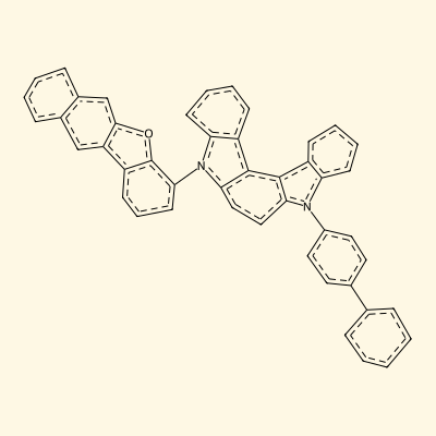 c1ccc(-c2ccc(-n3c4ccccc4c4c5c6ccccc6n(-c6cccc7c6oc6cc8ccccc8cc67)c5ccc43)cc2)cc1